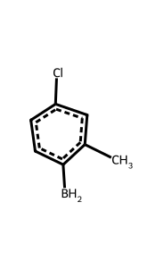 Bc1ccc(Cl)cc1C